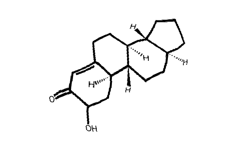 O=C1C=C2CC[C@H]3[C@@H]4CCC[C@H]4CC[C@@H]3[C@H]2CC1O